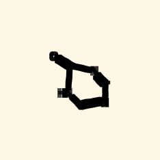 O=c1n[c]nc[nH]1